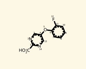 O=C(O)c1ncc(Oc2ccccc2F)cn1